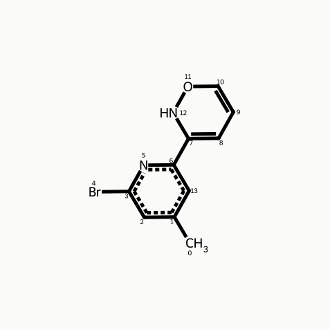 Cc1cc(Br)nc(C2=CC=CON2)c1